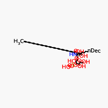 CC#CC#CC#CC#CC#CC#CC#CC#CC#CC#CC#CC#CC(=O)N[C@@H](COC1OC(CO)C(O)C(OSOOO)C1O)[C@H](O)[C@H](O)CCCCCCCCCCCCCC